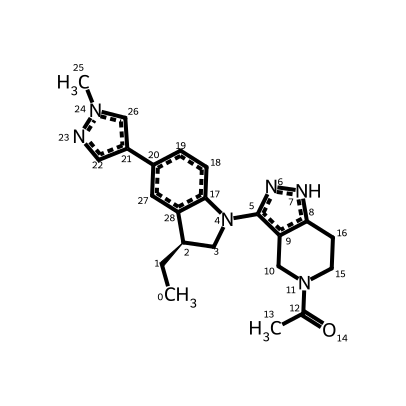 CC[C@@H]1CN(c2n[nH]c3c2CN(C(C)=O)CC3)c2ccc(-c3cnn(C)c3)cc21